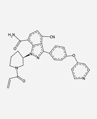 C=CC(=O)N1CCC[C@@H](n2nc(-c3ccc(Oc4ccncc4)cc3)c3c(C#N)ccc(C(N)=O)c32)C1